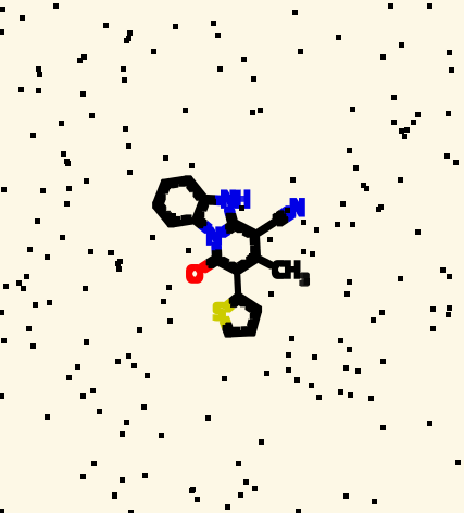 Cc1c(-c2cccs2)c(=O)n2c([nH]c3ccccc32)c1C#N